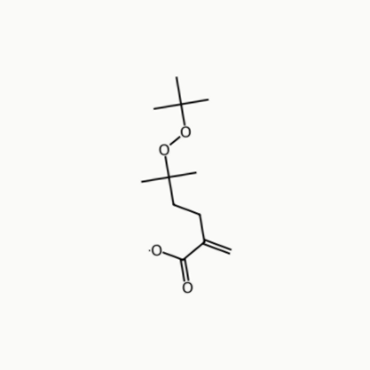 C=C(CCC(C)(C)OOC(C)(C)C)C([O])=O